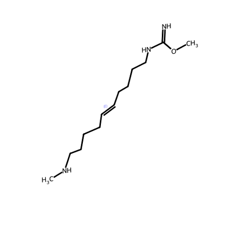 CNCCCC/C=C/CCCCNC(=N)OC